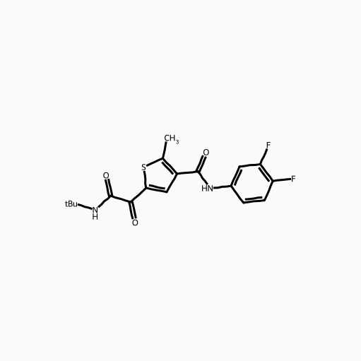 Cc1sc(C(=O)C(=O)NC(C)(C)C)cc1C(=O)Nc1ccc(F)c(F)c1